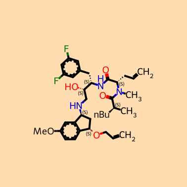 C=CCO[C@H]1C[C@H](NC[C@H](O)[C@H](Cc2cc(F)cc(F)c2)NC(=O)[C@H](CC=C)N(C)C(=O)[C@@H](C)CCCC)c2cc(OC)ccc21